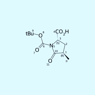 C[C@@H]1C[C@@H](C(=O)O)N(C(=O)OC(C)(C)C)C1=O